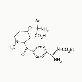 CCOC(=O)N=C(N)c1ccc(C(=O)C2CC(OC(N)(C(C)=O)C(=O)O)CCN2C)cc1